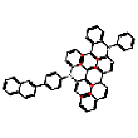 C1=CC(c2ccc(N(c3ccccc3)c3ccccc3-c3ccc(-c4ccccc4N(c4ccccc4)c4ccc(-c5ccc6ccccc6c5)cc4)cc3)cc2)Cc2ccccc21